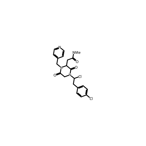 CNC(=O)CC1C(=O)N(C(Cl)Cc2ccc(Cl)cc2)CC(=O)N1Cc1ccncc1